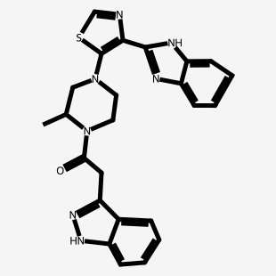 CC1CN(c2scnc2-c2nc3ccccc3[nH]2)CCN1C(=O)Cc1n[nH]c2ccccc12